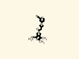 CNc1nc(C)c(C)c2c1CN(C(=O)CC1CN(c3ccnc(C#N)c3)C1)C2